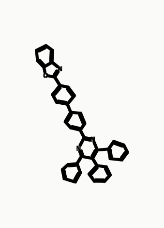 c1ccc(-c2nc(-c3ccc(-c4ccc(-c5nc6ccccc6o5)cc4)cc3)nc(-c3ccccc3)c2-c2ccccc2)cc1